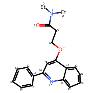 CCN(CC)C(=O)CCOc1cc(-c2ccccc2)nc2ccccc12